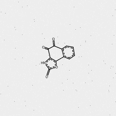 O=C1C(=O)c2[nH]c(=O)oc2-c2ccccc21